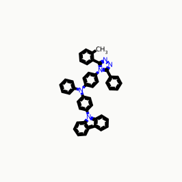 Cc1ccccc1-c1nnc(-c2ccccc2)n1-c1ccc(N(c2ccccc2)c2ccc(-n3c4ccccc4c4ccccc43)cc2)cc1